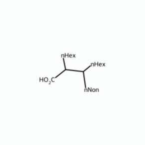 CCCCCCCCCC(CCCCCC)C(CCCCCC)C(=O)O